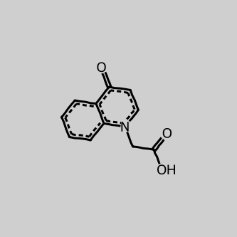 O=C(O)Cn1ccc(=O)c2ccccc21